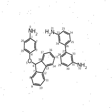 Nc1ccc(OC2c3ccccc3-c3ccccc32)cc1.Nc1cccc(-c2cccc(N)c2)c1